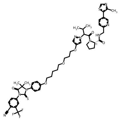 Cc1ncsc1-c1ccc(CNC(=O)[C@@H]2CCCN2C(=O)C(C(C)C)n2cc(OCCCOCCCCCOc3ccc(N4C(=S)N(c5ccc(C#N)c(C(F)(F)F)c5)C(=O)C4(C)C)cc3)cn2)nc1